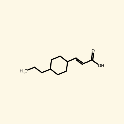 CCCC1CCC(/C=C/C(=O)O)CC1